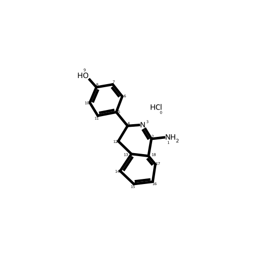 Cl.NC1=NC(c2ccc(O)cc2)Cc2ccccc21